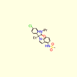 CCC(C(=O)NC(C)C)(c1ccc(Cl)cc1)n1ccc2c(NS(C)(=O)=O)cccc21